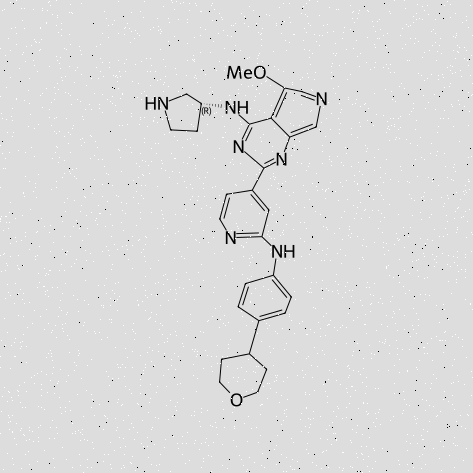 COc1cncc2nc(-c3ccnc(Nc4ccc(C5CCOCC5)cc4)c3)nc(N[C@@H]3CCNC3)c12